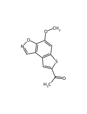 COc1cc2sc(C(C)=O)cc2c2cnoc12